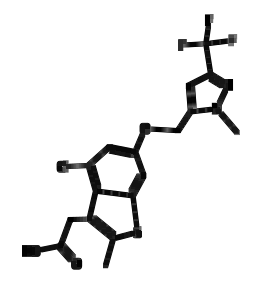 Cc1sc2cc(OCc3cc(C(F)(F)F)nn3C)cc(Cl)c2c1CC(=O)O